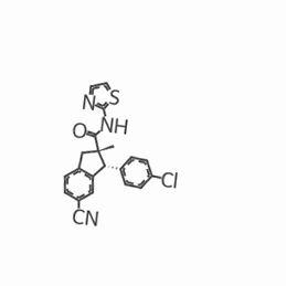 C[C@]1(C(=O)Nc2nccs2)Cc2ccc(C#N)cc2[C@H]1c1ccc(Cl)cc1